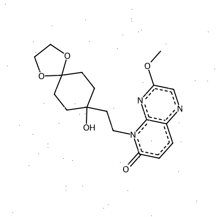 COc1cnc2ccc(=O)n(CCC3(O)CCC4(CC3)OCCO4)c2n1